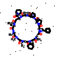 CCC(C)[C@@H]1NC(=O)[C@H](CC(C)C)N(C)C(=O)C[C@@H](C(=O)N2CCCCC2)N(C)C(=O)[C@H](C(C)C)N(C)C(=O)C2(CCCC2)NC(=O)[C@@H]2CCCN2C(=O)[C@H](CCc2ccccc2)NC(=O)CN(C)C(=O)[C@H](CC2CCCCC2)N(C)C(=O)CN(C)C(=O)CN(C)C1=O